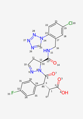 CC(C(=O)O)[C@@H](C(=O)N1N=CC[C@H]1C(=O)NCc1cc(Cl)ccc1-n1cnnn1)c1ccc(F)cc1